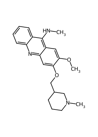 CNc1c2ccccc2nc2cc(OCC3CCCN(C)C3)c(OC)cc12